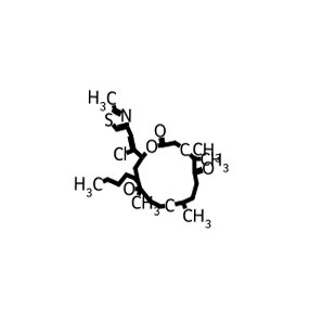 CCCCC12CC(C(Cl)=Cc3csc(C)n3)OC(=O)CCC(C)(C)C(=O)CCC(C)CCCC1(C)O2